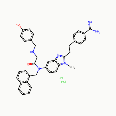 Cl.Cl.Cn1c(CCc2ccc(C(=N)N)cc2)nc2cc(N(Cc3cccc4ccccc34)C(=O)CNCc3ccc(O)cc3)ccc21